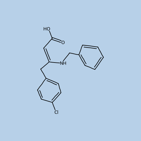 O=C(O)/C=C(/Cc1ccc(Cl)cc1)NCc1ccccc1